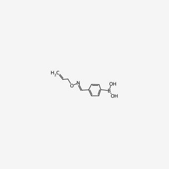 C=CCON=Cc1ccc(B(O)O)cc1